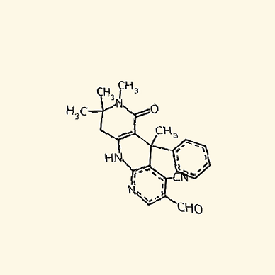 CN1C(=O)C2=C(CC1(C)C)Nc1ncc(C=O)c(C#N)c1C2(C)c1ccccc1